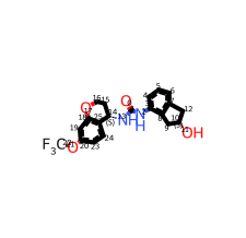 O=C(Nc1cccc2c1C[C@@H](O)C2)N[C@H]1CCOc2cc(OC(F)(F)F)ccc21